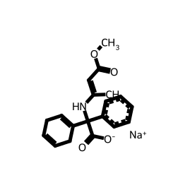 COC(=O)C=C(C)NC(C(=O)[O-])(C1=CCC=CC1)c1ccccc1.[Na+]